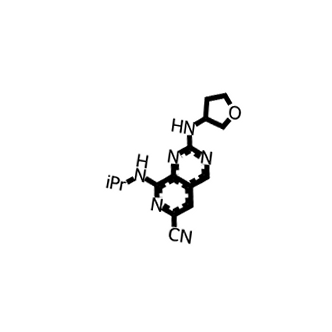 CC(C)Nc1nc(C#N)cc2cnc(NC3CCOC3)nc12